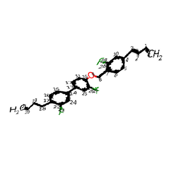 C=CCCc1ccc(COc2ccc(-c3ccc(CCC=C)c(F)c3)cc2F)c(F)c1